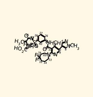 Cc1c(-c2cnn(C)c2)cnc(N2CCCC(F)(F)CC2)c1C(=O)Nc1cccc(S(C)(=O)=NC(=O)C(C)NC(=O)O)c1